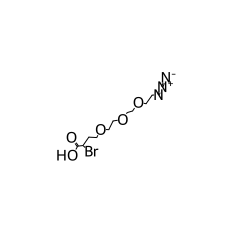 [N-]=[N+]=NCCOCCOCCOCCC(Br)C(=O)O